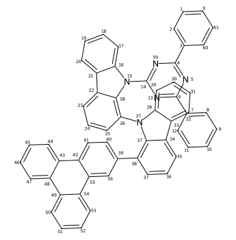 c1ccc(-c2nc(-c3ccccc3)nc(-n3c4ccccc4c4cccc(-n5c6ccccc6c6cccc(-c7ccc8c9ccccc9c9ccccc9c8c7)c65)c43)n2)cc1